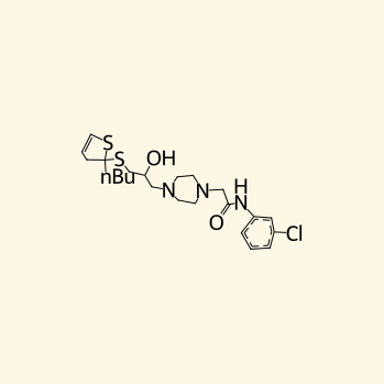 CCCCC1(SCC(O)CN2CCN(CC(=O)Nc3cccc(Cl)c3)CC2)CC=CS1